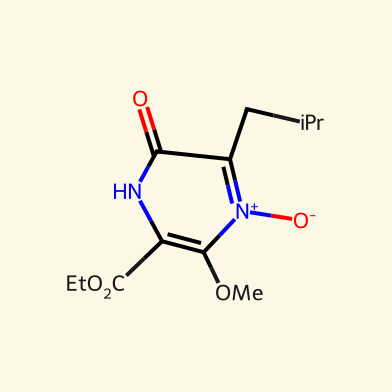 CCOC(=O)c1[nH]c(=O)c(CC(C)C)[n+]([O-])c1OC